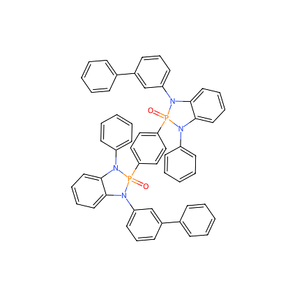 O=P1(c2ccc(P3(=O)N(c4ccccc4)c4ccccc4N3c3cccc(-c4ccccc4)c3)cc2)N(c2ccccc2)c2ccccc2N1c1cccc(-c2ccccc2)c1